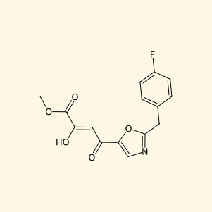 COC(=O)/C(O)=C/C(=O)c1cnc(Cc2ccc(F)cc2)o1